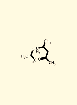 CC(=O)CC(C)C.CCO.O